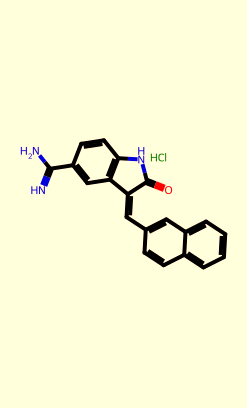 Cl.N=C(N)c1ccc2c(c1)C(=Cc1ccc3ccccc3c1)C(=O)N2